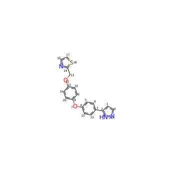 c1cc(-c2ccc(Oc3ccc(OCc4nccs4)cc3)cc2)[nH]n1